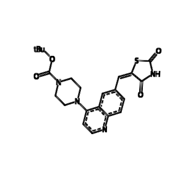 CC(C)(C)OC(=O)N1CCN(c2ccnc3ccc(/C=C4/SC(=O)NC4=O)cc23)CC1